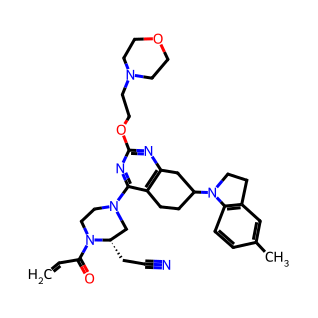 C=CC(=O)N1CCN(c2nc(OCCN3CCOCC3)nc3c2CCC(N2CCc4cc(C)ccc42)C3)C[C@@H]1CC#N